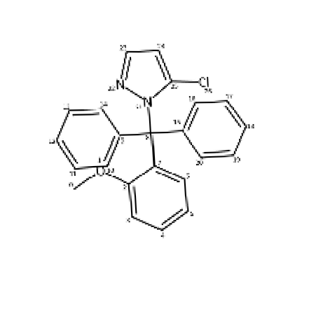 COc1ccccc1C(c1ccccc1)(c1ccccc1)n1nccc1Cl